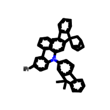 CC(C)c1ccc(N(c2ccc3c(c2)C(C)(C)c2ccccc2-3)c2ccc3c(c2)C2(CC4C=C2CC4)c2ccccc2-3)c(-c2ccccc2)c1